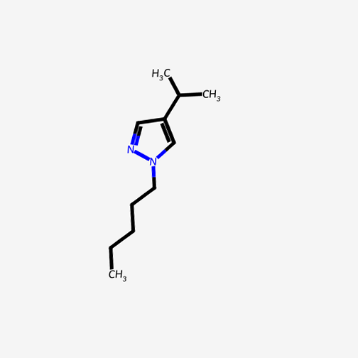 CCCCCn1cc(C(C)C)cn1